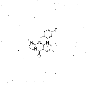 Cc1cnc2c(c1)C(=O)N1CCN=C1N2Cc1ccc(F)cc1